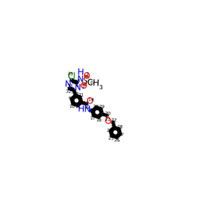 CS(=O)(=O)Nc1nc(-c2cccc(C(=O)Nc3ccc(COCc4ccccc4)cc3)c2)cnc1Cl